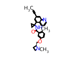 CC#Cc1cc(C2(NC(=O)c3cc(OC[C@@H]4CCN4C)ccc3C)CC2)c2cccnc2c1